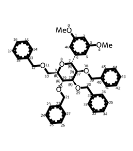 COc1cc(OC)cc([C@H]2O[C@H](COCc3ccccc3)[C@@H](OCc3ccccc3)[C@H](OCc3ccccc3)[C@@H]2OCc2ccccc2)c1